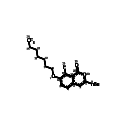 CCCCc1cc2ccc(OCCCCCCC(F)(F)F)c(F)c2c(=O)o1